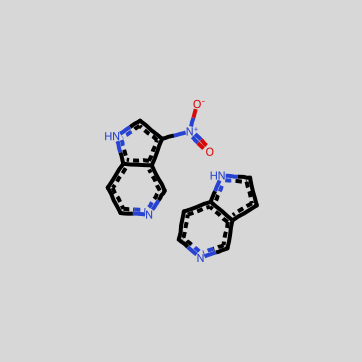 O=[N+]([O-])c1c[nH]c2ccncc12.c1cc2[nH]ccc2cn1